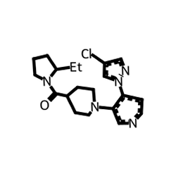 CCC1CCCN1C(=O)C1CCN(c2cnccc2-n2cc(Cl)cn2)CC1